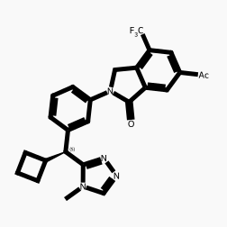 CC(=O)c1cc2c(c(C(F)(F)F)c1)CN(c1cccc([C@@H](c3nncn3C)C3CCC3)c1)C2=O